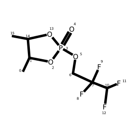 CC1OP(=O)(OCC(F)(F)C(F)F)OC1C